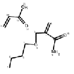 C=C(COCCCC)C(N)=O.C=CC(=O)O